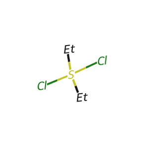 CCS(Cl)(Cl)CC